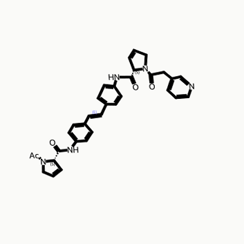 CC(=O)N1CC=C[C@H]1C(=O)Nc1ccc(/C=C/c2ccc(NC(=O)[C@@H]3C=CCN3C(=O)Cc3cccnc3)cc2)cc1